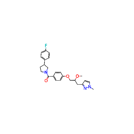 COC(COc1ccc(C(=O)N2CCC(c3ccc(F)cc3)C2)cc1)Cc1ccn(C)n1